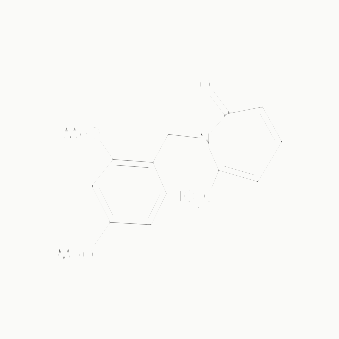 COc1ccc(Cn2c(C(=O)O)cccc2=O)c(OC)c1